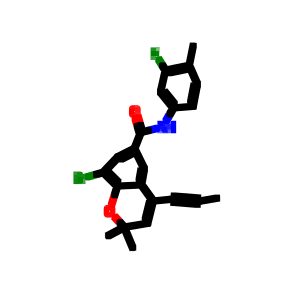 CC#CC1=CC(C)(C)Oc2c(Br)cc(C(=O)Nc3ccc(C)c(F)c3)cc21